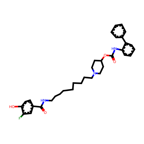 O=C(Nc1ccccc1-c1ccccc1)OC1CCN(CCCCCCCCCNC(=O)c2ccc(O)c(F)c2)CC1